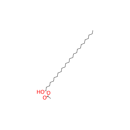 CCCCCCCCCCCCCCCCCCCCCCCCCC(O)OC(C)=O